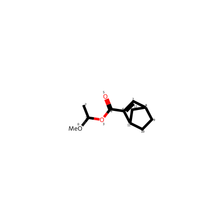 COC(C)OC(=O)C1=CC2CCC1C2